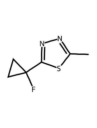 Cc1nnc(C2(F)CC2)s1